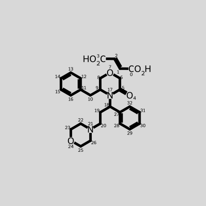 O=C(O)C=CC(=O)O.O=C1COCC(Cc2ccccc2)N1C(CCN1CCOCC1)c1ccccc1